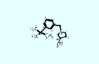 CC(C)(C)c1cccc(CN2CC[C@@H](O)C2)c1